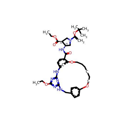 C=C(OC(C)(C)C)N1C[C@H](C(=O)OCC)[C@H](NC(=O)c2ccc3cc2OCCCCCCOc2ccc(cc2)CNc2nc(nc(OCC)n2)N3)C1